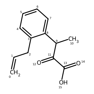 C=CCc1ccccc1C(C)C(=O)C(=O)O